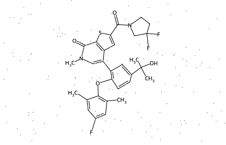 Cc1cc(F)cc(C)c1Oc1ccc(C(C)(C)O)cc1-c1cn(C)c(=O)c2sc(C(=O)N3CCC(F)(F)C3)cc12